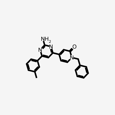 Cc1cccc(-c2cc(-c3ccn(Cc4ccccc4)c(=O)c3)nc(N)n2)c1